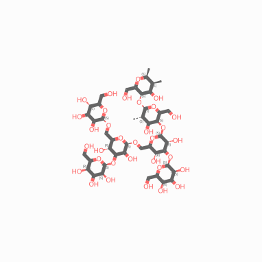 C[C@@H]1OC(CO)[C@@H](O[C@@H]2OC(CO)[C@@H](O[C@@H]3OC(CO[C@H]4OC(CO[C@H]5OC(CO)[C@@H](O)C(O)C5O)[C@@H](O)C(O[C@@H]5OC(CO)[C@H](O)C(O)[C@@H]5O)C4O)[C@@H](O)C(O[C@@H]4OC(CO)[C@H](O)C(O)[C@@H]4O)[C@H]3O)C(O)[C@@H]2C)C(O)[C@@H]1C